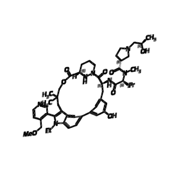 CCn1c(-c2cnccc2COC)c2c3cc(ccc31)-c1cc(O)cc(c1)C[C@H](NC(=O)[C@H](C(C)C)N(C)C(=O)[C@@H]1CCN(C[C@@H](C)O)C1)C(=O)N1CCC[C@H](N1)C(=O)OCC(C)(C)C2